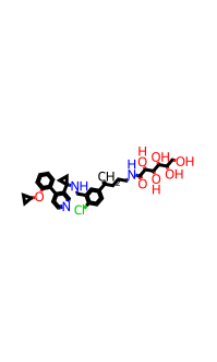 C=C(CCCNC(=O)C(O)C(O)C(O)C(O)CO)c1ccc(Cl)c(CNC2(c3cnccc3-c3ccccc3OC3CC3)CC2)c1